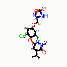 CC(C)c1cc(Oc2c(Cl)cc(OCc3noc(=O)[nH]3)cc2Cl)nn(C)c1=O